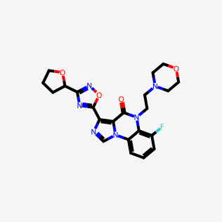 O=c1c2c(-c3nc(C4CCCO4)no3)ncn2c2cccc(F)c2n1CCN1CCOCC1